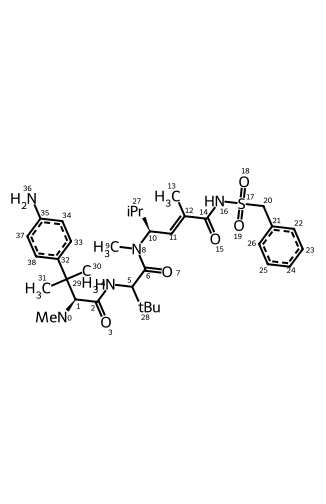 CN[C@H](C(=O)NC(C(=O)N(C)[C@H](/C=C(\C)C(=O)NS(=O)(=O)Cc1ccccc1)C(C)C)C(C)(C)C)C(C)(C)c1ccc(N)cc1